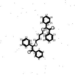 O=C(c1ccccc1)C(OCCCCOC(C(=O)c1ccccc1)c1ccccc1)c1ccccc1